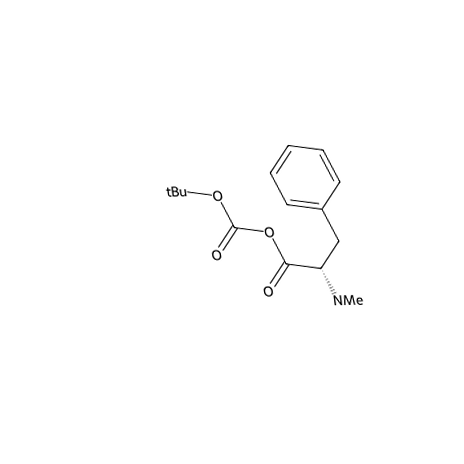 CN[C@@H](Cc1ccccc1)C(=O)OC(=O)OC(C)(C)C